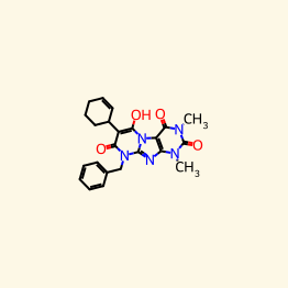 Cn1c(=O)c2c(nc3n(Cc4ccccc4)c(=O)c(C4C=CCCC4)c(O)n23)n(C)c1=O